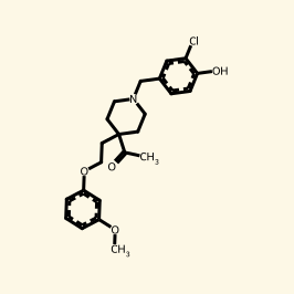 COc1cccc(OCCC2(C(C)=O)CCN(Cc3ccc(O)c(Cl)c3)CC2)c1